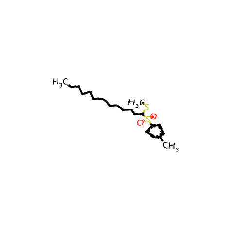 CCCCCCCCCCCCC(SC)S(=O)(=O)c1ccc(C)cc1